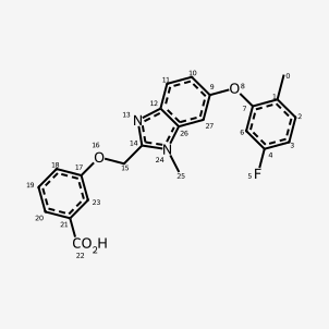 Cc1ccc(F)cc1Oc1ccc2nc(COc3cccc(C(=O)O)c3)n(C)c2c1